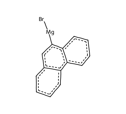 [Br][Mg][c]1cc2ccccc2c2ccccc12